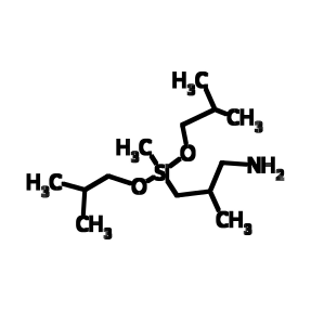 CC(C)CO[Si](C)(CC(C)CN)OCC(C)C